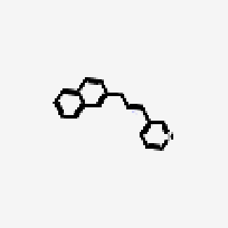 C(=C\c1cccnc1)/Cc1ccc2ccccc2c1